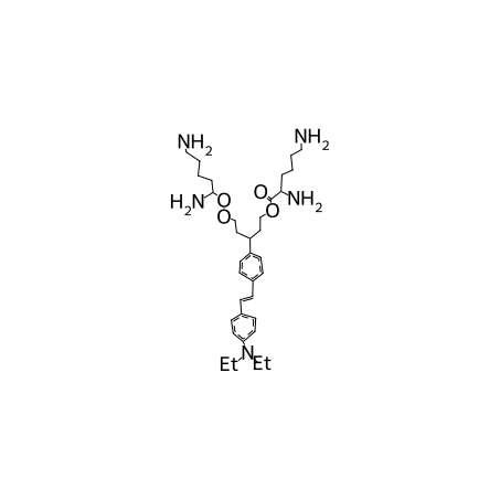 CCN(CC)c1ccc(/C=C/c2ccc(C(CCOOC(N)CCCCN)CCOC(=O)C(N)CCCCN)cc2)cc1